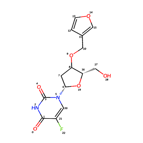 O=c1[nH]c(=O)n([C@@H]2CC(OCc3ccoc3)[C@H](CO)O2)cc1F